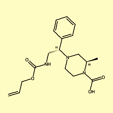 C=CCOC(=O)NC[C@H](c1ccccc1)N1CCN(C(=O)O)[C@H](C)C1